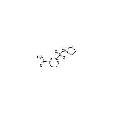 C1CCSC1.CS(=O)(=O)c1cccc(C(N)=O)c1